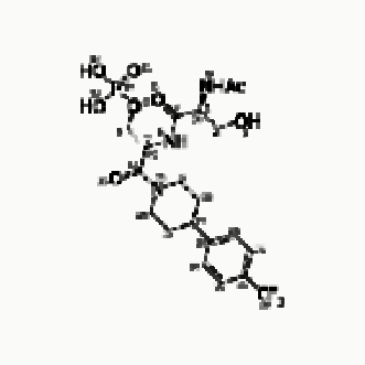 CC(=O)N[C@@H](CO)C(=O)N[C@@H](COP(=O)(O)O)C(=O)N1CCC(c2ccc(C(F)(F)F)cc2)CC1